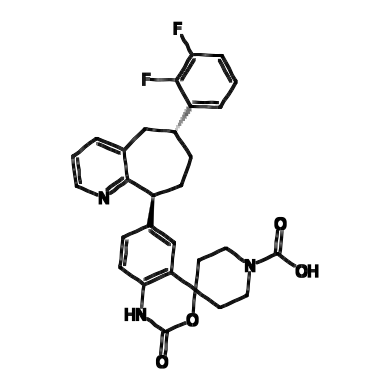 O=C1Nc2ccc([C@@H]3CC[C@@H](c4cccc(F)c4F)Cc4cccnc43)cc2C2(CCN(C(=O)O)CC2)O1